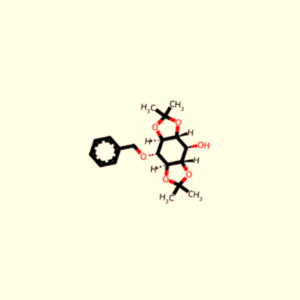 CC1(C)O[C@@H]2[C@@H](OCc3ccccc3)[C@@H]3OC(C)(C)O[C@H]3[C@H](O)[C@H]2O1